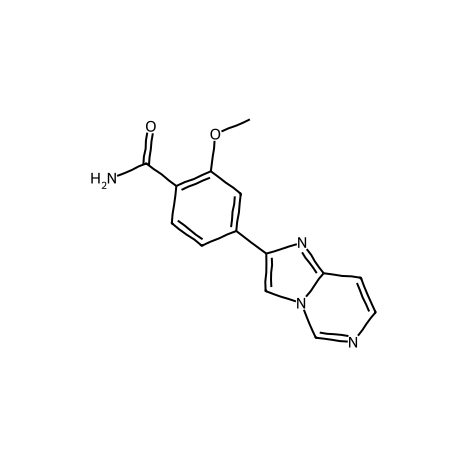 COc1cc(-c2cn3cnccc3n2)ccc1C(N)=O